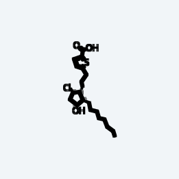 CCCCCCCC[C@@H]1[C@@H](CCCc2ccc(C(=O)O)s2)[C@H](Cl)C[C@H]1O